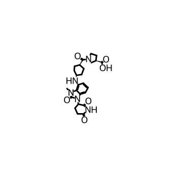 Cn1c(=O)n(C2CCC(=O)NC2=O)c2cccc(N[C@H]3CC[C@H](C(=O)N4CC[C@@H](C(=O)O)C4)CC3)c21